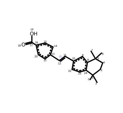 CC1(C)CCC(C)(C)c2cc(/C=C/c3ccc(C(=O)O)cc3)ccc21